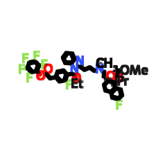 CCOC(c1ccc(CC(=O)Oc2c(F)c(F)c(F)c(F)c2F)cc1F)n1c(CCCN(C)CC[C@@]2(OC(=O)COC)CCc3cc(F)ccc3[C@@H]2C(C)C)nc2ccccc21